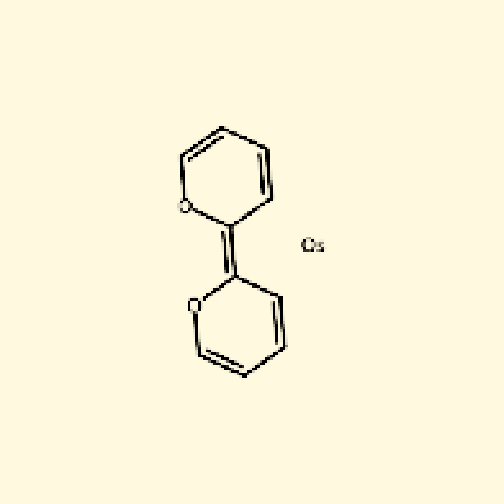 C1=COC(=C2C=CC=CO2)C=C1.[Os]